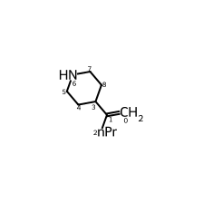 C=C(CCC)C1CCNCC1